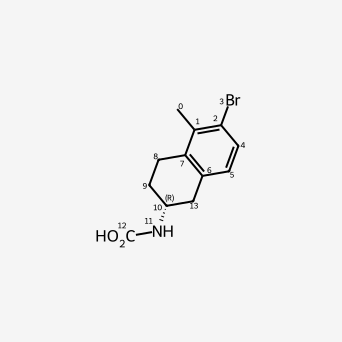 Cc1c(Br)ccc2c1CC[C@@H](NC(=O)O)C2